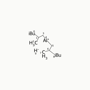 CCC(C)C(C)[CH2][Al+][CH2]C(C)C(C)CC.[H-]